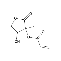 C=CC(=O)OC1(C)C(=O)OCC1O